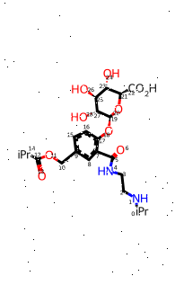 CC(C)NCCNC(=O)c1cc(COC(=O)C(C)C)ccc1O[C@@H]1O[C@H](C(=O)O)[C@@H](O)[C@H](O)[C@H]1O